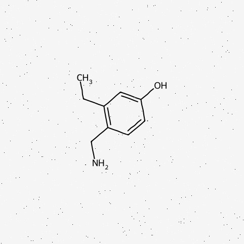 CCc1cc(O)[c]cc1CN